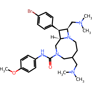 COc1ccc(NC(=O)N2CC(CN(C)C)CCN3[C@H](CN(C)C)[C@H](c4ccc(Br)cc4)[C@@H]3C2)cc1